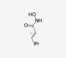 CC(C)/C=C/C(=O)NO